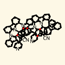 Cc1cc(C#N)c(-c2ccncc2)cc1-n1c2c(-n3c4ccccc4c4ccccc43)cccc2c2cccc(-n3c4ccccc4c4ccc(-c5ccc6c(c5)c5ccccc5n6-c5cccc6c7cccc(-n8c9ccccc9c9ccccc98)c7n(-c7cc(-c8ccncc8)c(C#N)cc7-c7ccccc7)c56)cc43)c21